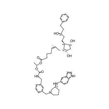 CC(OC(=O)CCC/C=C\C[C@@H]1[C@@H](CC[C@@H](O)CCc2ccccc2)[C@H](O)C[C@@H]1O)OC(=O)NCc1cccc(CN2CCC[C@H](Nc3ccc4[nH]ncc4c3)C2)c1